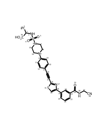 CC(C)C(NS(=O)(=O)N1CCN(c2ccc(C#Cc3nc(-c4cccc(C(=O)NCC#N)c4)cs3)cc2)CC1)C(=O)O